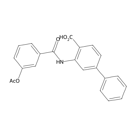 CC(=O)Oc1cccc(C(=O)Nc2cc(-c3ccccc3)ccc2C(=O)O)c1